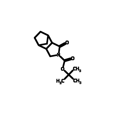 CC(C)(C)OC(=O)N1CC2C3CCC(C3)C2C1=O